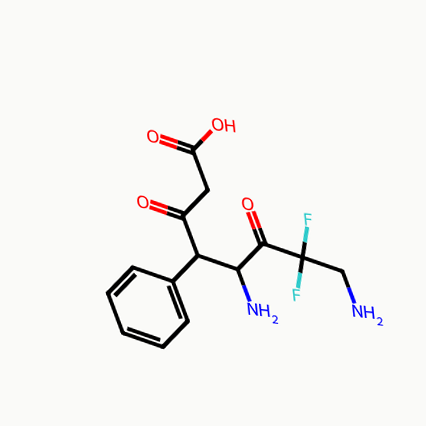 NCC(F)(F)C(=O)C(N)C(C(=O)CC(=O)O)c1ccccc1